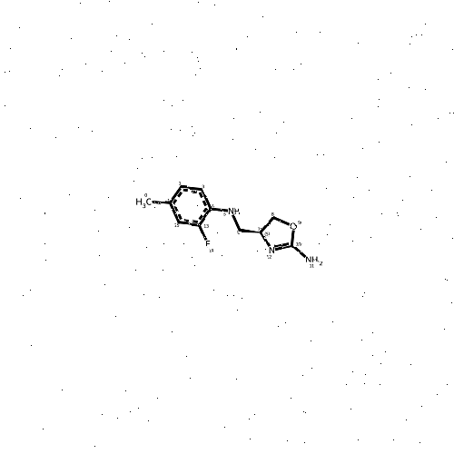 Cc1ccc(NC[C@H]2COC(N)=N2)c(F)c1